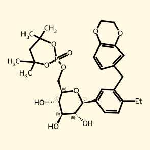 CCc1ccc([C@@H]2O[C@H](COP3(=O)OC(C)(C)CC(C)(C)O3)[C@@H](O)[C@H](O)[C@H]2O)cc1Cc1ccc2c(c1)OCCO2